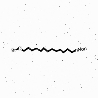 CCCCCCCCCCCCCCCCCCCCCCOBr